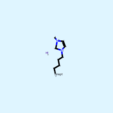 CCCCCCCCCCCN1C=CN(C)C1.I